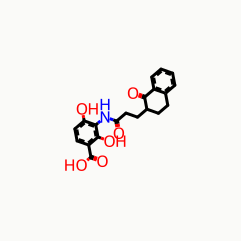 O=C(CCC1CCc2ccccc2C1=O)Nc1c(O)ccc(C(=O)O)c1O